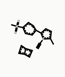 C#Cn1c(C)ccc1-c1ccc(S(C)(=O)=O)cc1.c1cc2ccc1-2